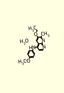 CCOc1cc2c(Nc3ccc(OC)cc3)ccnc2nc1C.O